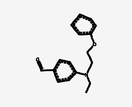 CCN(CCOc1ccccc1)c1ccc(C=O)cc1